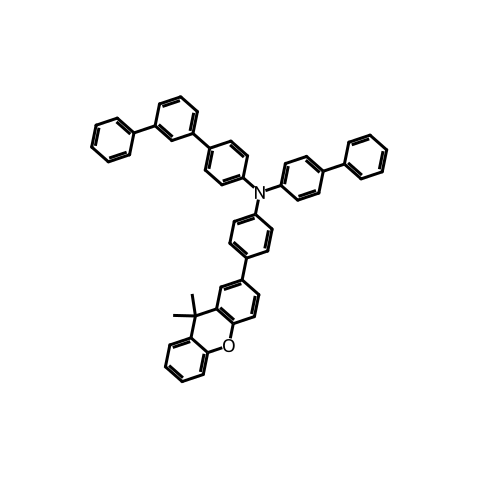 CC1(C)c2ccccc2Oc2ccc(-c3ccc(N(c4ccc(-c5ccccc5)cc4)c4ccc(-c5cccc(-c6ccccc6)c5)cc4)cc3)cc21